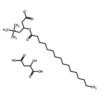 CCCCCCCCCCCCCCCC(=O)OC(CC(=O)[O-])C[N+](C)(C)C.O=C(O)CC(O)C(=O)O